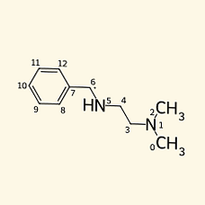 CN(C)CCN[CH]c1ccccc1